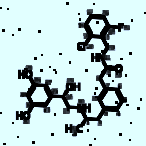 C[C@H](Cc1cccc(CC(=O)NCc2c(F)cccc2Cl)c1)NC[C@H](O)c1cc(O)cc(O)c1